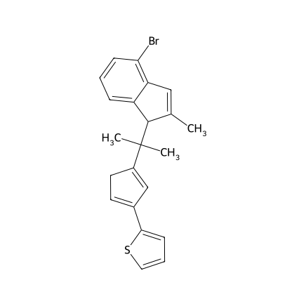 CC1=Cc2c(Br)cccc2C1C(C)(C)C1=CC(c2cccs2)=CC1